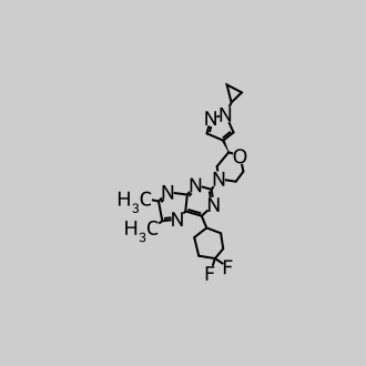 Cc1nc2nc(N3CCO[C@H](c4cnn(C5CC5)c4)C3)nc(C3CCC(F)(F)CC3)c2nc1C